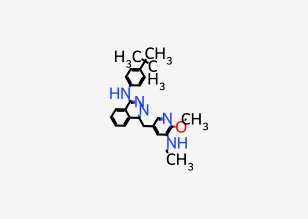 CCNc1cc(Cc2nnc(Nc3ccc(C(C)(C)C)cc3)c3ccccc23)cnc1OC